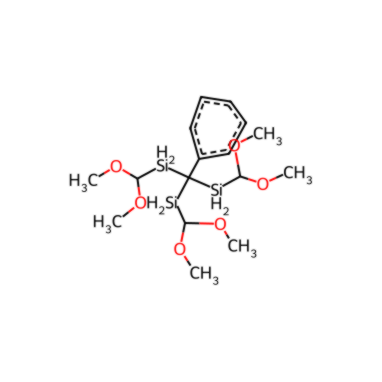 COC(OC)[SiH2]C([SiH2]C(OC)OC)([SiH2]C(OC)OC)c1ccccc1